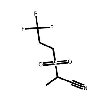 CC(C#N)S(=O)(=O)CCC(F)(F)F